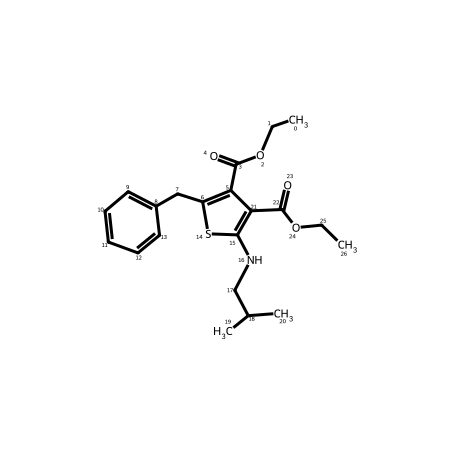 CCOC(=O)c1c(Cc2ccccc2)sc(NCC(C)C)c1C(=O)OCC